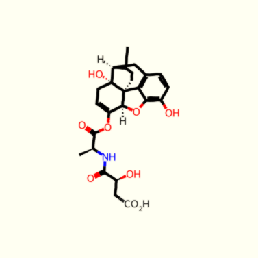 CC1CC[C@]23c4c5ccc(O)c4O[C@H]2C(OC(=O)[C@H](C)NC(=O)[C@@H](O)CC(=O)O)=CC[C@@]3(O)[C@H]1C5